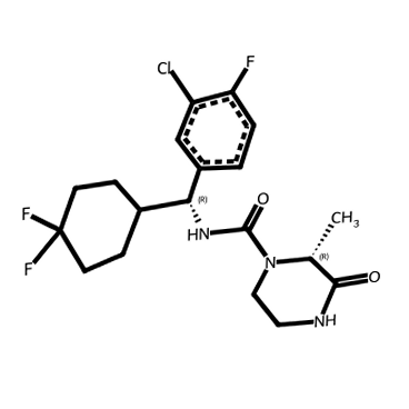 C[C@@H]1C(=O)NCCN1C(=O)N[C@@H](c1ccc(F)c(Cl)c1)C1CCC(F)(F)CC1